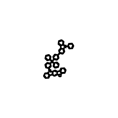 c1ccc(-n2c3ccccc3c3cc(-c4ccc([Si](c5ccccc5)(c5ccccc5)c5cccc(-n6c7ccccc7c7cc8oc9ccccc9c8cc76)c5)cc4)ccc32)cc1